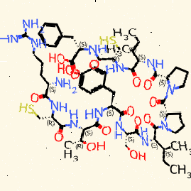 CC[C@H](C)[C@H](NC(=O)[C@@H]1CCCN1C(=O)[C@@H]1CCCN1C(=O)[C@@H](NC(=O)[C@H](CO)NC(=O)[C@H](Cc1ccc(O)cc1)NC(=O)[C@@H](NC(=O)[C@H](CS)NC(=O)[C@@H](N)CCCNC(=N)N)[C@@H](C)O)[C@@H](C)CC)C(=O)N[C@@H](CS)C(=O)N[C@@H](Cc1ccccc1)C(=O)O